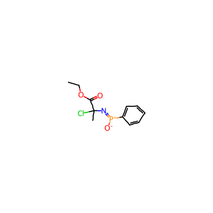 CCOC(=O)C(C)(Cl)/N=[P+](\[O-])c1ccccc1